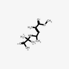 COC(=O)C(C)=CC(C)NC(C)(C)C(=O)O